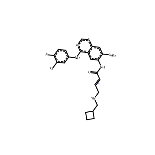 COc1cc2ncnc(Nc3ccc(F)c(Cl)c3)c2cc1NC(=O)/C=C/CNCC1CCC1